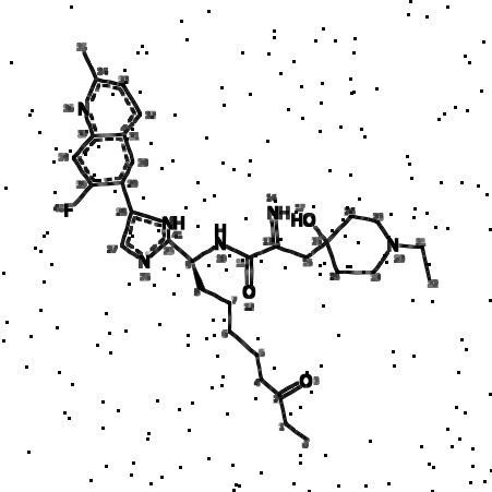 CCC(=O)CCCCC[C@H](NC(=O)C(=N)CC1(O)CCN(CC)CC1)c1ncc(-c2cc3ccc(C)nc3cc2F)[nH]1